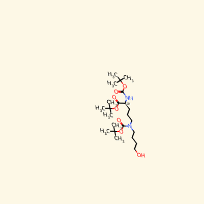 CC(C)(C)OC(=O)N[C@@H](CCCN(CCCCO)C(=O)OC(C)(C)C)C(=O)OC(C)(C)C